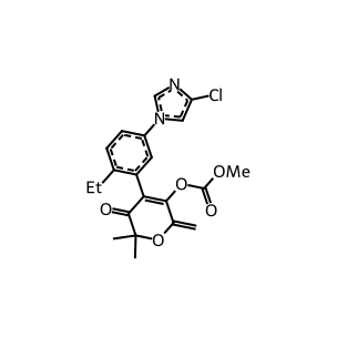 C=C1OC(C)(C)C(=O)C(c2cc(-n3cnc(Cl)c3)ccc2CC)=C1OC(=O)OC